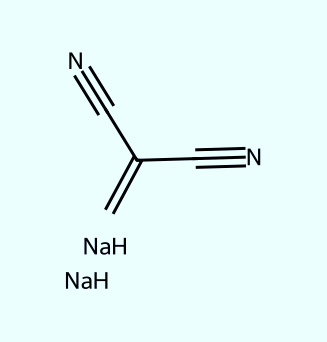 C=C(C#N)C#N.[NaH].[NaH]